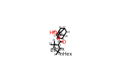 CCCCCCC(C)(CC)CC(C(=O)OC1C2CC3CC1CC(C2)C3O)C(C)(C)CCCCCC